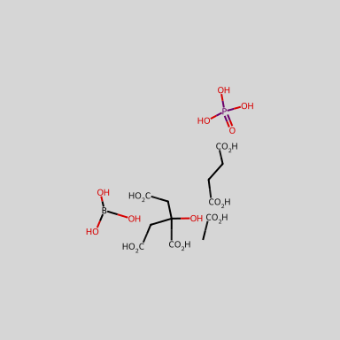 CC(=O)O.O=C(O)CC(O)(CC(=O)O)C(=O)O.O=C(O)CCC(=O)O.O=P(O)(O)O.OB(O)O